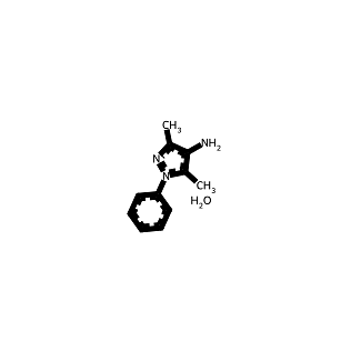 Cc1nn(-c2ccccc2)c(C)c1N.O